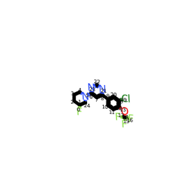 FC1CCCN(c2cc(-c3ccc(OC(F)(F)F)c(Cl)c3)ncn2)C1